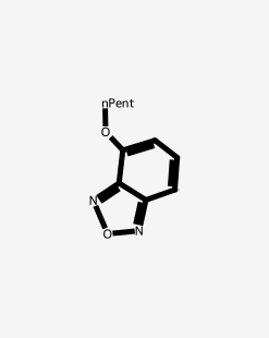 CCCCCOc1cc[c]c2nonc12